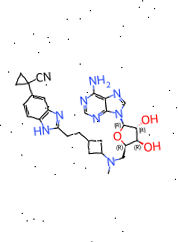 CN(C[C@H]1O[C@@H](n2cnc3c(N)ncnc32)[C@H](O)[C@H]1O)C1CC(CCc2nc3cc(C4(C#N)CC4)ccc3[nH]2)C1